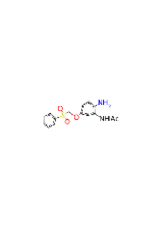 CC(=O)Nc1cc(OCS(=O)(=O)c2ccccc2)ccc1N